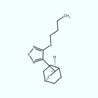 CCCCSc1nsnc1[C@@H]1CN2CCC1CC2